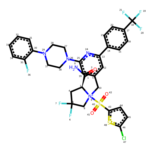 NC(=O)[C@@H]1CC(F)(F)C[N+]1(Cc1cc(-c2ccc(C(F)(F)F)cc2)nc(N2CCN(c3ccccc3F)CC2)c1)S(=O)(=O)c1ccc(Cl)s1